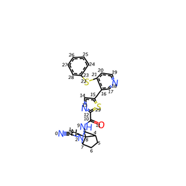 N#CN1CC2CCC1[C@@H]2NC(=O)c1ncc(-c2cnccc2Sc2ccccc2)s1